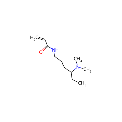 C=CC(=O)NCCCC(CC)N(C)C